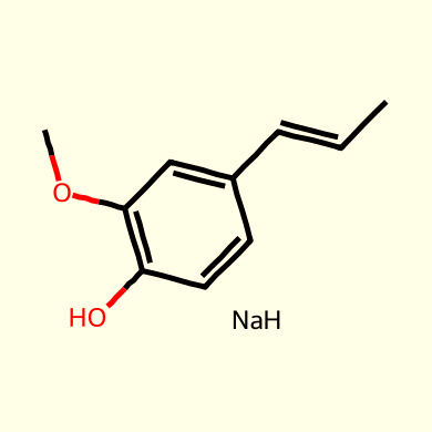 CC=Cc1ccc(O)c(OC)c1.[NaH]